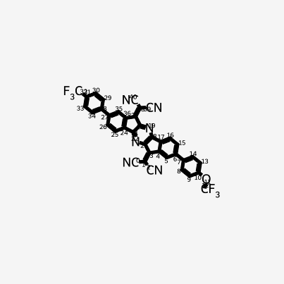 N#CC(C#N)=C1c2cc(-c3ccc(OC(F)(F)F)cc3)ccc2-c2nc3c(nc21)-c1ccc(-c2ccc(C(F)(F)F)cc2)cc1C3=C(C#N)C#N